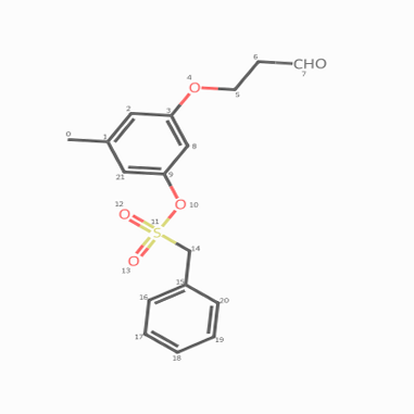 Cc1cc(OCCC=O)cc(OS(=O)(=O)Cc2ccccc2)c1